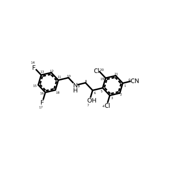 N#Cc1cc(Cl)c(C(O)CNCc2cc(F)cc(F)c2)c(Cl)c1